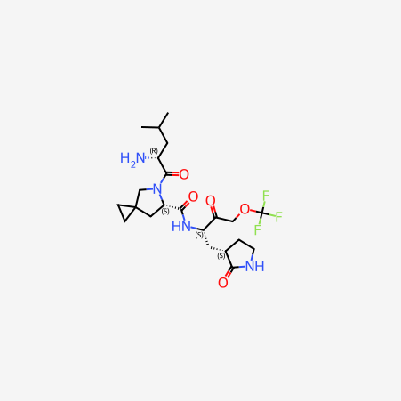 CC(C)C[C@@H](N)C(=O)N1CC2(CC2)C[C@H]1C(=O)N[C@@H](C[C@@H]1CCNC1=O)C(=O)COC(F)(F)F